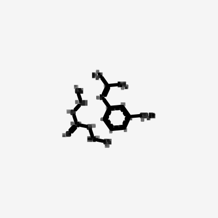 CCOC(=O)c1cccc(N=C(N)N)c1.N#CNO[N+](=O)ONC#N